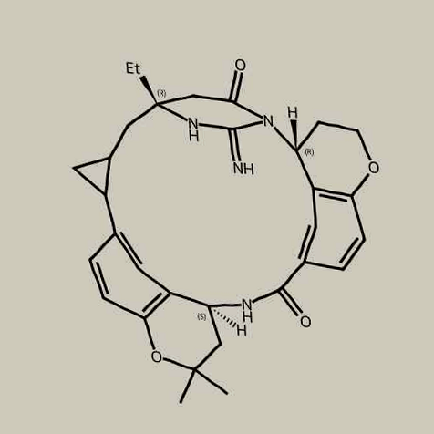 CC[C@@]12CC(=O)N(C(=N)N1)[C@@H]1CCOc3ccc(cc31)C(=O)N[C@H]1CC(C)(C)Oc3ccc(cc31)C1CC1C2